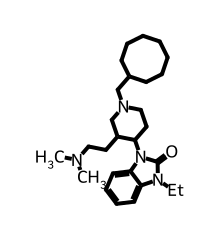 CCn1c(=O)n(C2CCN(CC3CCCCCCC3)CC2CCN(C)C)c2ccccc21